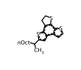 CCCCCCCCC(C)c1cc2c(s1)c1c(c3sccc32)SCC1